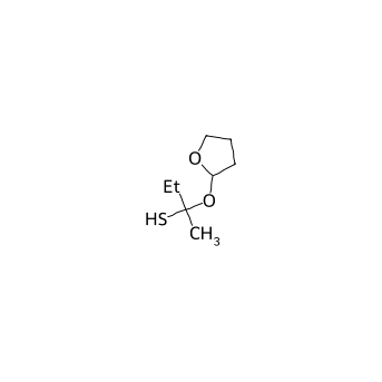 CCC(C)(S)OC1CCCO1